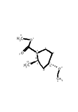 COC(=O)N1CC[C@H](OC)C[C@H]1C